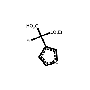 CCOC(=O)C(CC)(C(=O)O)c1ccsc1